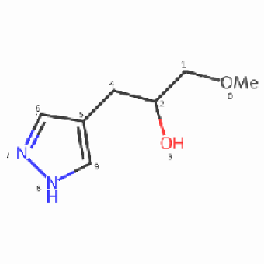 COCC(O)Cc1[c]n[nH]c1